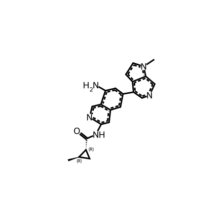 C[C@@H]1C[C@H]1C(=O)Nc1cc2cc(-c3cncc4c3ccn4C)cc(N)c2cn1